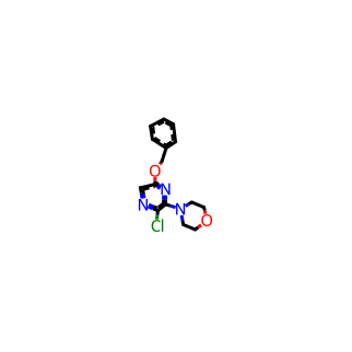 Clc1ncc(OCc2ccccc2)nc1N1CCOCC1